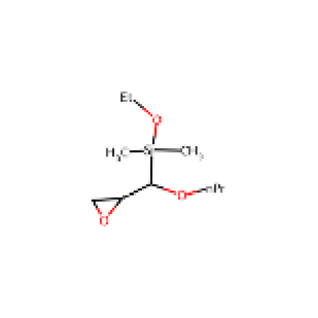 CCCOC(C1CO1)[Si](C)(C)OCC